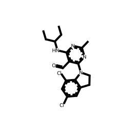 CCC(CC)Nc1nc(C)nc(N2CCc3cc(Cl)cc(Cl)c32)c1C=O